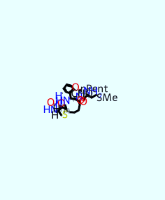 CCCCCC(=O)N(C(=O)[C@@H](N)CCSC)[C@@]1([C]=O)C(=O)CCCC[C@@]2(SC[C@@H]3NC(=O)N[C@@H]32)C(=O)NC1c1ccccc1